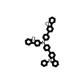 c1ccc(-n2c3ccccc3c3ccc(-c4ccc(N(c5ccc(-c6ccc7c(c6)oc6ccccc67)cc5)c5ccc6c(c5)oc5ccccc56)cc4)cc32)cc1